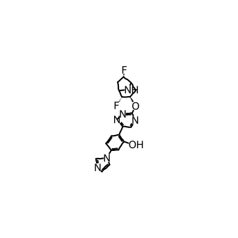 Oc1cc(-n2ccnc2)ccc1-c1cnc(O[C@@H]2CC3NC(C[C@@H]3F)[C@H]2F)nn1